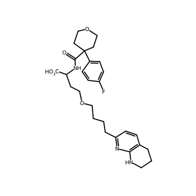 O=C(O)C(CCOCCCCc1ccc2c(n1)NCCC2)NC(=O)C1(c2ccc(F)cc2)CCOCC1